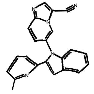 Cc1cccc(-c2cc3ccccc3n2-c2ccc3ncc(C#N)n3c2)n1